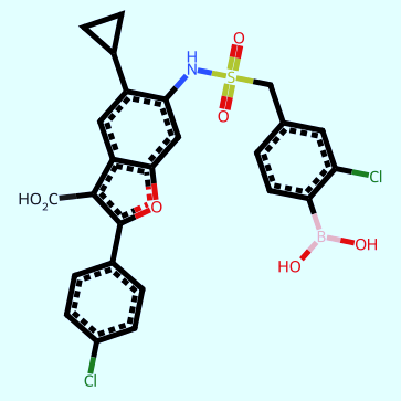 O=C(O)c1c(-c2ccc(Cl)cc2)oc2cc(NS(=O)(=O)Cc3ccc(B(O)O)c(Cl)c3)c(C3CC3)cc12